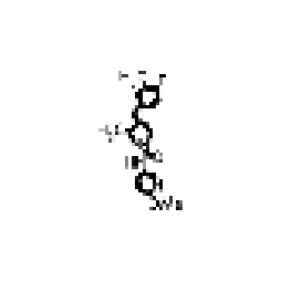 COc1ccc(NC(=O)N2CC/C(=C\c3ccc(F)c(C)c3)C(C)C2)cn1